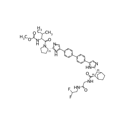 COC(=O)NC(C(=O)N1CCC[C@H]1c1ncc(-c2ccc(-c3ccc(-c4cnc([C@@H]5C6CCC(C6)[C@H]5C(=O)NCC(=O)NCC(F)F)[nH]4)cc3)cc2)[nH]1)C(C)C